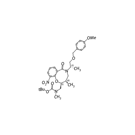 COc1ccc(COC[C@H](C)N2C[C@@H](C)[C@@H](CN(C)C(=O)OC(C)(C)C)Oc3c(cccc3[N+](=O)[O-])C2=O)cc1